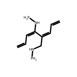 C=C/C=C(CNP)\C(=C/C=C)NP